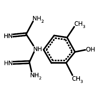 Cc1cccc(C)c1O.N=C(N)NC(=N)N